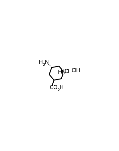 Cl.Cl.N[C@@H]1CNCC(C(=O)O)C1